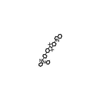 CC1(C)C2=C(c3ccc(-c4ccc(-c5nc6ccccc6n5-c5ccccc5)cc4)cc31)C(C)(C)c1cc(-c3ccc4ccccc4n3)ccc12